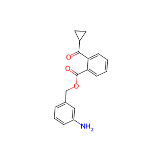 Nc1cccc(COC(=O)c2ccccc2C(=O)C2CC2)c1